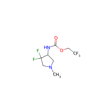 CN1CC(NC(=O)OCC(F)(F)F)C(F)(F)C1